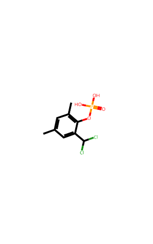 Cc1cc(C)c(OP(=O)(O)O)c(C(Cl)Cl)c1